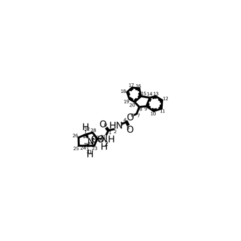 O=C(CNC(=O)OCC1c2ccccc2-c2ccccc21)N[C@H]1C[C@H]2CC[C@@H](C1)N2C(=O)O